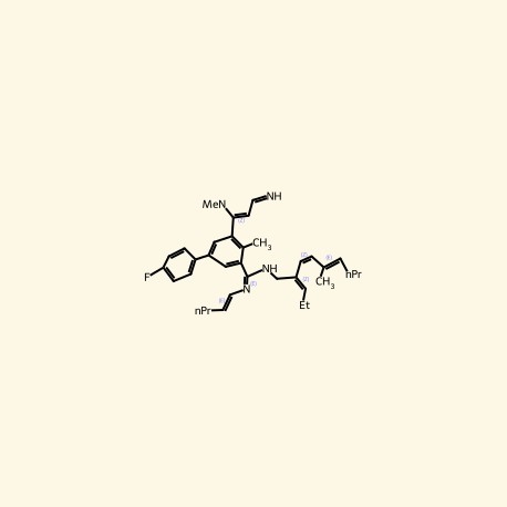 CC/C=C(/C=C\C(C)=C\CCC)CN/C(=N/C=C/CCC)c1cc(-c2ccc(F)cc2)cc(/C(=C/C=N)NC)c1C